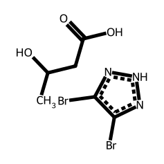 Brc1n[nH]nc1Br.CC(O)CC(=O)O